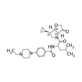 CCN1CCN(c2ccc(C(=O)NC(CC(C)C)C(=O)N3C[C@@H](C4CC4)[C@H]4OCC(=O)[C@H]43)cc2)CC1